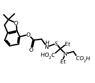 CCN(CC(=O)O)C(CC)(SNCC(=O)Oc1cccc2c1OC(C)(C)C2)C(=O)O